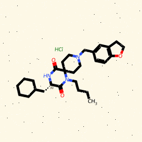 CCCCN1C(=O)[C@H](CC2CCCCC2)NC(=O)C12CCN(Cc1ccc3c(c1)CCO3)CC2.Cl